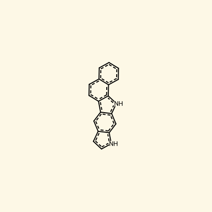 c1ccc2c(c1)ccc1c3cc4cc[nH]c4cc3[nH]c21